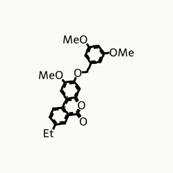 CCc1ccc2c(c1)c(=O)oc1cc(OCc3cc(OC)cc(OC)c3)c(OC)cc12